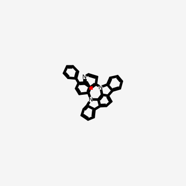 c1ccc(-c2ccc(-n3c4ccccc4c4ccc5c6ccccc6n(-c6ccncc6)c5c43)cc2)cc1